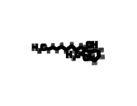 CCCCCCCCCC(O)(c1ccccc1)C(C)O